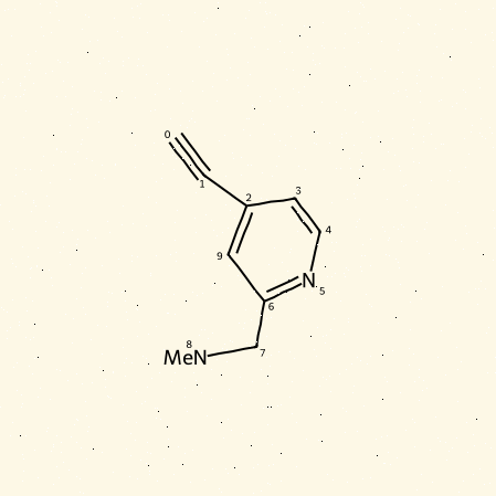 C#Cc1ccnc(CNC)c1